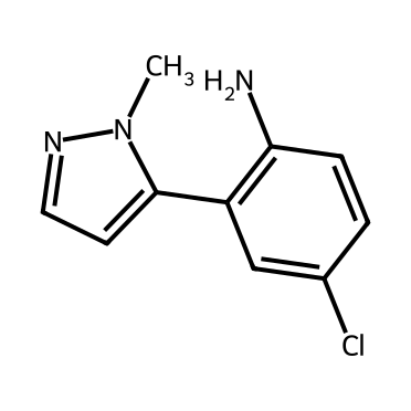 Cn1nccc1-c1cc(Cl)ccc1N